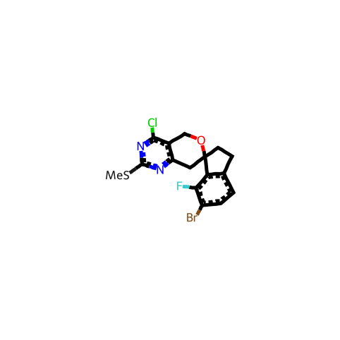 CSc1nc(Cl)c2c(n1)CC1(CCc3ccc(Br)c(F)c31)OC2